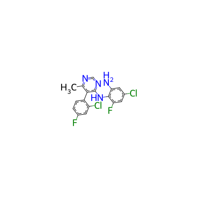 Cc1ncnc(Nc2c(N)cc(Cl)cc2F)c1-c1ccc(F)cc1Cl